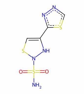 NS(=O)(=O)N1NC(c2nncs2)=CS1